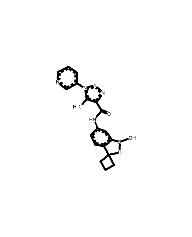 Cc1c(C(=O)Nc2ccc3c(c2)B(O)OC32CCC2)nnn1-c1cccnc1